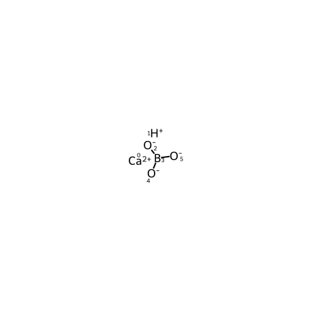 [Ca+2].[H+].[O-]B([O-])[O-]